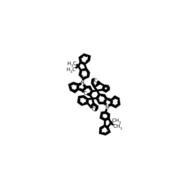 CC1(C)c2ccccc2-c2ccc(-n3c4ccccc4c4cc5c(cc43)C3(c4ccccc4-c4ccccc43)c3cc4c6ccccc6n(-c6ccc7c(c6)C(C)(C)c6ccccc6-7)c4cc3C53c4ccccc4-c4ccccc43)cc21